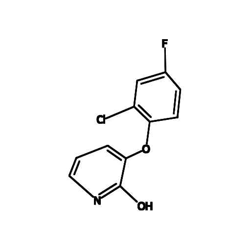 Oc1ncccc1Oc1ccc(F)cc1Cl